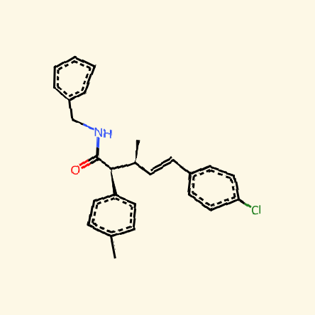 Cc1ccc([C@@H](C(=O)NCc2ccccc2)[C@@H](C)/C=C/c2ccc(Cl)cc2)cc1